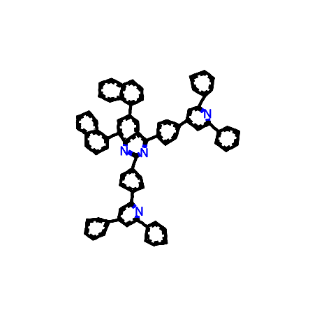 c1ccc(-c2cc(-c3ccccc3)nc(-c3ccc(-c4nc(-c5ccc(-c6cc(-c7ccccc7)nc(-c7ccccc7)c6)cc5)c5cc(-c6cccc7ccccc67)cc(-c6cccc7ccccc67)c5n4)cc3)c2)cc1